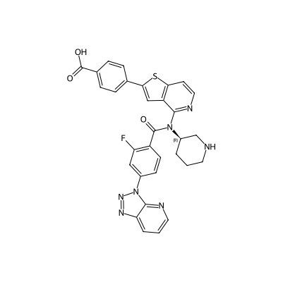 O=C(O)c1ccc(-c2cc3c(N(C(=O)c4ccc(-n5nnc6cccnc65)cc4F)[C@@H]4CCCNC4)nccc3s2)cc1